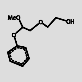 COC(COCCO)Oc1ccccc1